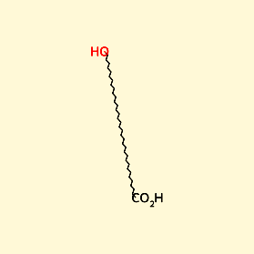 O=C(O)CCCCCCCCCCCCCCCCCCCCCCCCCCCCCCCCCCO